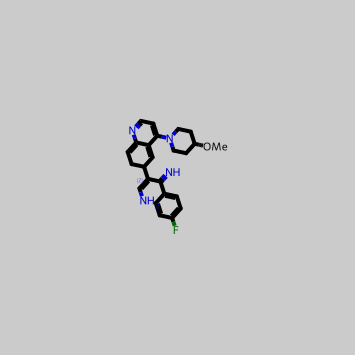 COC1CCN(c2ccnc3c2=CC(/C(=C/N)C(=N)c2ccc(F)cc2)CC=3)CC1